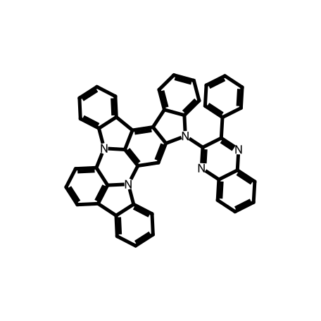 c1ccc(-c2nc3ccccc3nc2-n2c3ccccc3c3c4c5ccccc5n5c6cccc7c8ccccc8n(c(cc32)c45)c76)cc1